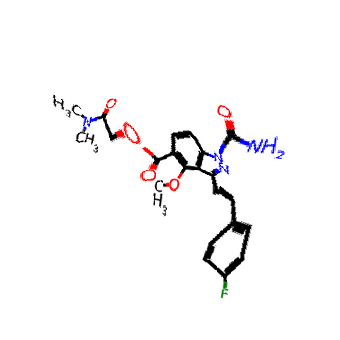 COc1c(C(=O)OCC(=O)N(C)C)ccc2c1c(C=Cc1ccc(F)cc1)nn2C(N)=O